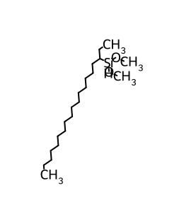 CCCCCCCCCCCCCCCCC(CC)[SiH](OC)OC